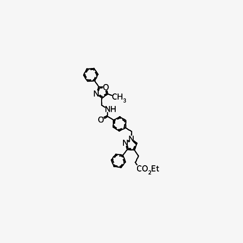 CCOC(=O)CCc1cn(Cc2ccc(C(=O)NCc3nc(-c4ccccc4)oc3C)cc2)nc1-c1ccccc1